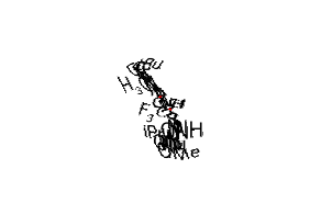 COC(=O)N[C@H](C(=O)N1CCC[C@H]1c1nc(-c2ccc(-c3cc(Cl)c(NC(=O)c4ccc(N5CCN(C(=O)OC(C)(C)C)C[C@H]5C)nc4)cc3C(F)(F)F)cc2)c[nH]1)C(C)C